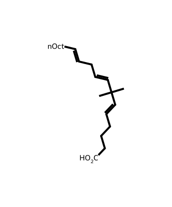 CCCCCCCCC=CCC=CC(C)(C)C=CCCCC(=O)O